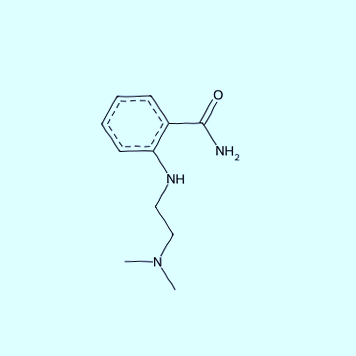 CN(C)CCNc1ccccc1C(N)=O